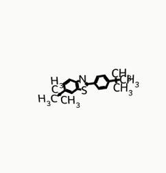 CC(C)(C)c1ccc(-c2nc3ccc(C(C)(C)C)cc3s2)cc1